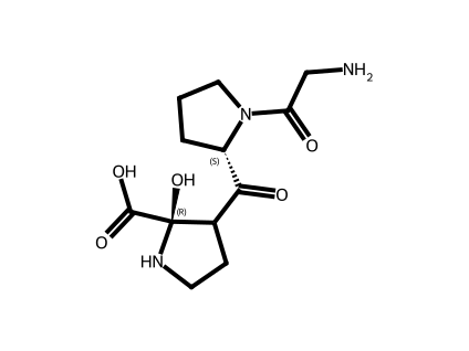 NCC(=O)N1CCC[C@H]1C(=O)C1CCN[C@]1(O)C(=O)O